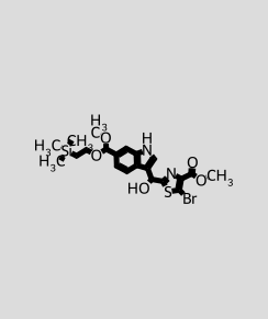 COC(=O)c1nc(C(O)c2c[nH]c3cc(C(OC)OCC[Si](C)(C)C)ccc23)sc1Br